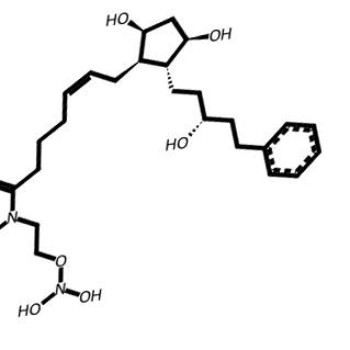 CN(CCON(O)O)C(=O)CCC/C=C\C[C@@H]1[C@@H](CC[C@@H](O)CCc2ccccc2)[C@H](O)C[C@@H]1O